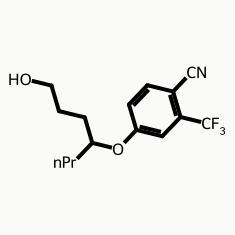 CCCC(CCCO)Oc1ccc(C#N)c(C(F)(F)F)c1